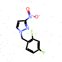 O=[N+]([O-])c1ccn(Cc2ccc(F)cc2F)n1